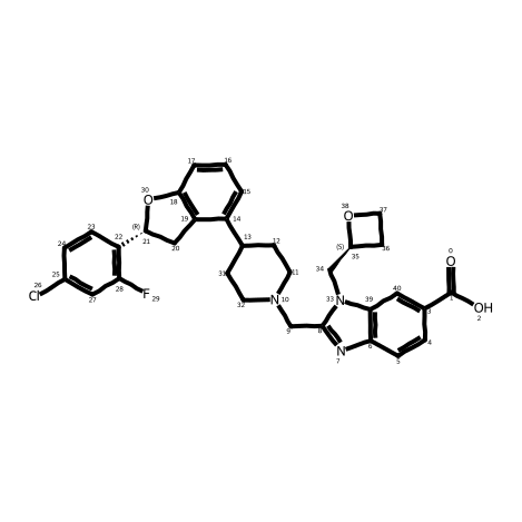 O=C(O)c1ccc2nc(CN3CCC(c4cccc5c4C[C@H](c4ccc(Cl)cc4F)O5)CC3)n(C[C@@H]3CCO3)c2c1